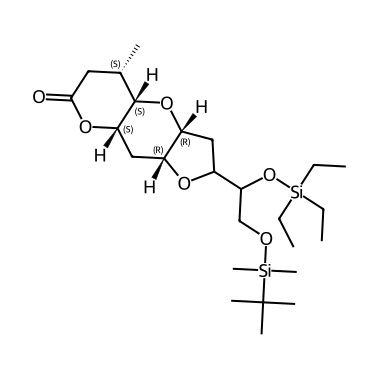 CC[Si](CC)(CC)OC(CO[Si](C)(C)C(C)(C)C)C1C[C@H]2O[C@@H]3[C@H](C[C@H]2O1)OC(=O)C[C@@H]3C